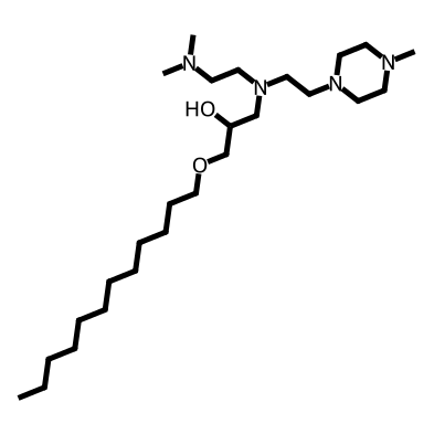 CCCCCCCCCCCCOCC(O)CN(CCN(C)C)CCN1CCN(C)CC1